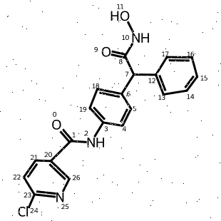 O=C(Nc1ccc(C(C(=O)NO)c2ccccc2)cc1)c1ccc(Cl)nc1